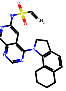 C=CS(=O)(=O)Nc1cc2c(N3CCc4ccc5c(c43)CCCC5)ncnc2cn1